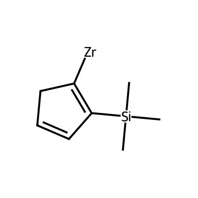 C[Si](C)(C)C1=[C]([Zr])CC=C1